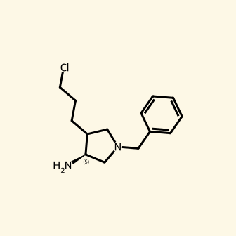 N[C@@H]1CN(Cc2ccccc2)CC1CCCCl